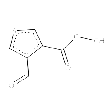 COC(=O)c1cscc1C=O